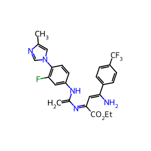 C=C(/N=C(\C=C(/N)c1ccc(C(F)(F)F)cc1)C(=O)OCC)Nc1ccc(-n2cnc(C)c2)c(F)c1